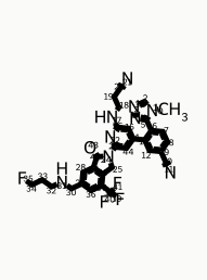 Cn1cnnc1-c1ccc(C#N)cc1-c1cc(NCCC#N)nc(N2Cc3c(cc(CNCCCF)cc3C(F)(F)F)C2=O)c1